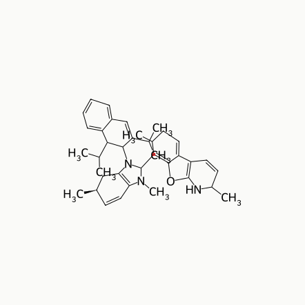 CC1C=Cc2c(oc3c2=CCC(C)C=3C2N(C)C3=C(C[C@H](C)C=C3)N2C2C(C(C)C)=Cc3ccccc3C2C(C)C)N1